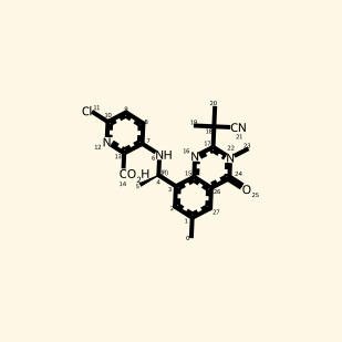 Cc1cc([C@@H](C)Nc2ccc(Cl)nc2C(=O)O)c2nc(C(C)(C)C#N)n(C)c(=O)c2c1